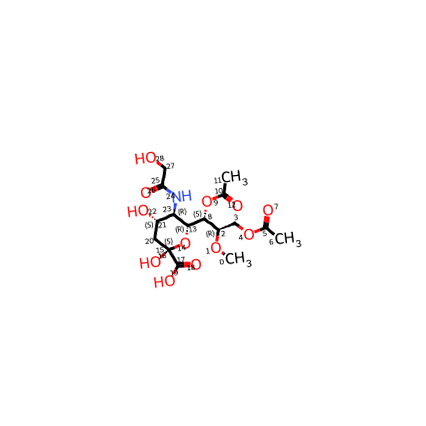 CO[C@H](COC(C)=O)[C@@H](OC(C)=O)[C@@H]1O[C@](O)(C(=O)O)C[C@H](O)[C@H]1NC(=O)CO